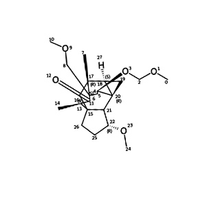 COCO[C@@H]1C[C@@](C)(COC)C(=O)[C@H](C)C23CC[C@H]4C[C@]41C2[C@H](OC)CC3